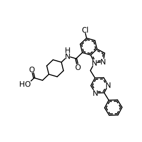 O=C(O)CC1CCC(NC(=O)c2cc(Cl)cc3cnn(Cc4cnc(-c5ccccc5)nc4)c23)CC1